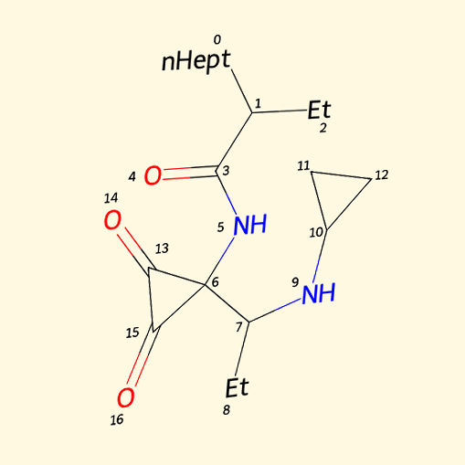 CCCCCCCC(CC)C(=O)NC1(C(CC)NC2CC2)C(=O)C1=O